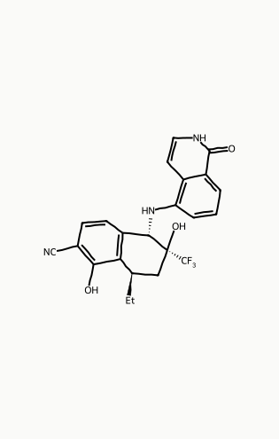 CC[C@@H]1C[C@@](O)(C(F)(F)F)[C@@H](Nc2cccc3c(=O)[nH]ccc23)c2ccc(C#N)c(O)c21